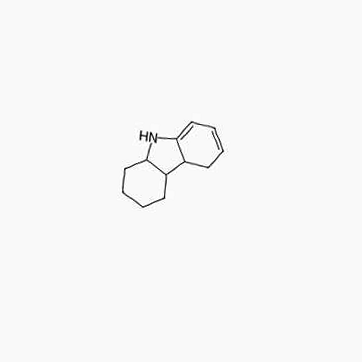 C1=CCC2C(=C1)NC1CCCCC12